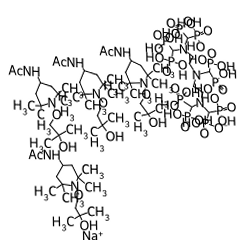 CC(=O)NC1CC(C)(C)N(OCC(C)(C)O)C(C)(C)C1.CC(=O)NC1CC(C)(C)N(OCC(C)(C)O)C(C)(C)C1.CC(=O)NC1CC(C)(C)N(OCC(C)(C)O)C(C)(C)C1.CC(=O)NC1CC(C)(C)N(OCC(C)(C)O)C(C)(C)C1.O=P([O-])(O)C(N(CCN(CCN(C(P(=O)(O)O)P(=O)(O)O)C(P(=O)(O)O)P(=O)(O)O)C(P(=O)(O)O)P(=O)(O)O)C(P(=O)(O)O)P(=O)(O)O)P(=O)(O)O.[Na+]